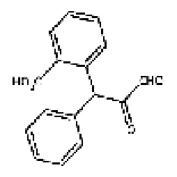 O=CC(=O)C(c1ccccc1)c1ccccc1C(=O)O